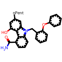 CCCCCc1cc(O)c2c3c(C(N)=O)cccc3n(Cc3ccccc3Oc3ccccc3)c2c1